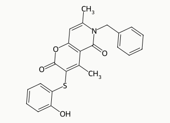 Cc1c(Sc2ccccc2O)c(=O)oc2cc(C)n(Cc3ccccc3)c(=O)c12